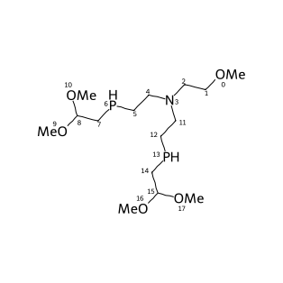 COCCN(CCPCC(OC)OC)CCPCC(OC)OC